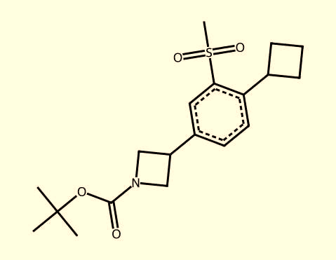 CC(C)(C)OC(=O)N1CC(c2ccc(C3CCC3)c(S(C)(=O)=O)c2)C1